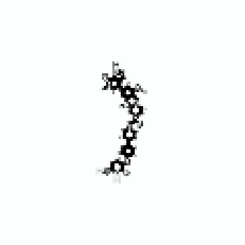 COc1cc(-c2cn(C)c(=O)c3[nH]ncc23)cc(OC)c1CN1CCN(C(=O)CN2CCC(c3ccc(OC4CCC(O)NC4=O)cc3)CC2)CC1